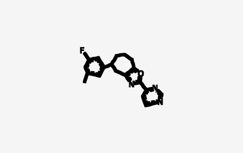 Cc1cc(F)cc(C2CCCc3oc(-c4ccncn4)nc3C2)c1